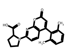 Cc1cccc(C)c1-c1cc(=O)oc2nc(N3CCCC3C(=O)O)ccc12